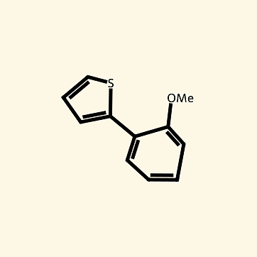 COc1ccccc1-c1cccs1